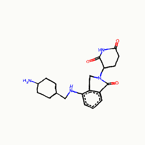 NC1CCC(CNc2cccc3c2CN(C2CCC(=O)NC2=O)C3=O)CC1